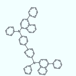 c1ccc(-c2ccc(N(c3ccccc3)c3ccc(-c4ccc(N(c5ccccc5)c5ccc(-c6ccccc6)c6ccccc56)cc4)cc3)c3ccccc23)cc1